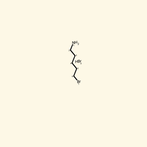 Br.NCCCCCBr